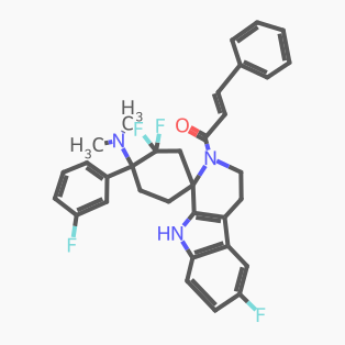 CN(C)C1(c2cccc(F)c2)CCC2(CC1(F)F)c1[nH]c3ccc(F)cc3c1CCN2C(=O)C=Cc1ccccc1